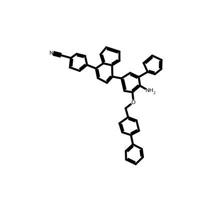 N#Cc1ccc(-c2ccc(-c3cc(OCc4ccc(-c5ccccc5)cc4)c(N)c(-c4ccccc4)c3)c3ccccc23)cc1